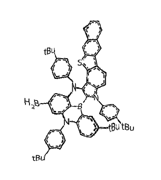 Bc1cc2c3c(c1)N(c1ccc(C(C)(C)C)cc1)c1c(n(-c4ccc(C(C)(C)C)cc4)c4ccc5c6cc7ccccc7cc6sc5c14)B3c1cc(C(C)(C)C)ccc1N2c1ccc(C(C)(C)C)cc1